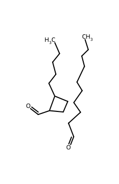 CCCCCC1CCC1C=O.CCCCCCCCCC=O